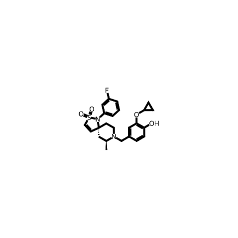 C[C@H]1C[C@@]2(C=CS(=O)(=O)N2c2cccc(F)c2)CCN1Cc1ccc(O)c(OC2CC2)c1